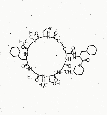 CC[C@@H]1NC(=O)C(CC2CCCCC2)NC(=O)[C@H](C)N(C)C(=O)[C@H](CC(C)C)NC(=O)CSC[C@@H](C(=O)N[C@@H](CC2CCCCC2)C(=O)N2CCCCC2)NC(=O)[C@H](C)NC(=O)[C@H]([C@@H](C)O)NC1=O